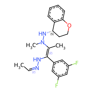 C/C=N\N/C(=C(/C)N(C)N[C@H]1CCOc2ccccc21)c1cc(F)cc(F)c1